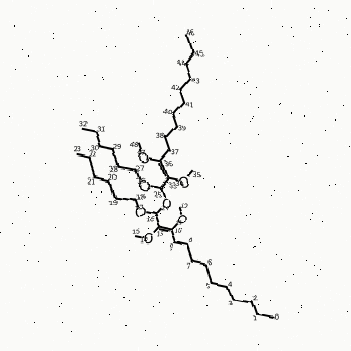 CCCCCCCCCCC(OC)=C(OC)C(OCCCCCC)OC(OCCCCCC)C(OC)=C(CCCCCCCCCC)OC